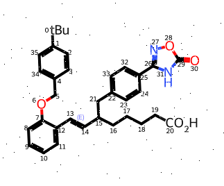 CC(C)(C)c1ccc(COc2ccccc2/C=C/C(CCCCC(=O)O)Cc2ccc(-c3noc(=O)[nH]3)cc2)cc1